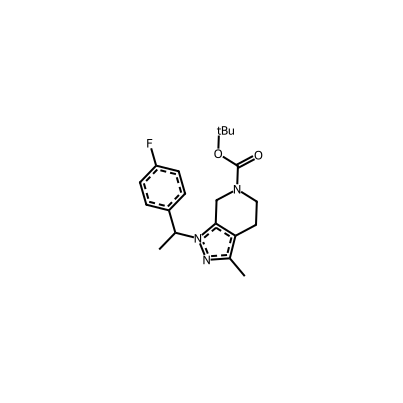 Cc1nn(C(C)c2ccc(F)cc2)c2c1CCN(C(=O)OC(C)(C)C)C2